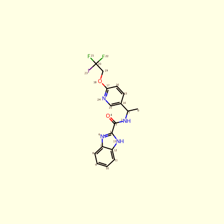 CC(NC(=O)c1nc2ccccc2[nH]1)c1ccc(OCC(F)(F)I)nc1